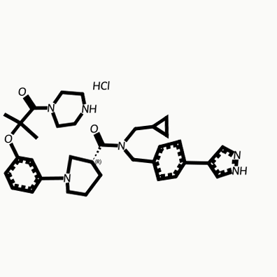 CC(C)(Oc1cccc(N2CCC[C@@H](C(=O)N(Cc3ccc(-c4cn[nH]c4)cc3)CC3CC3)C2)c1)C(=O)N1CCNCC1.Cl